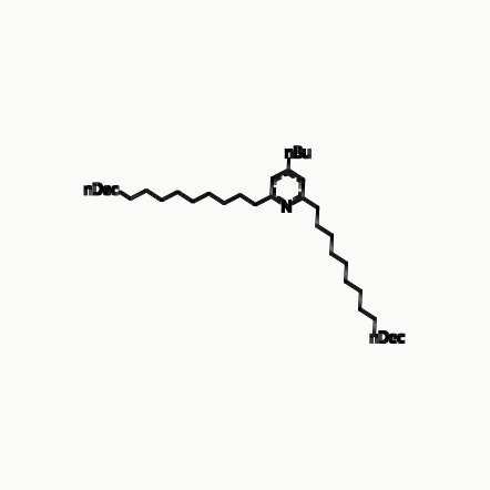 [CH2]CCCc1cc(CCCCCCCCCCCCCCCCCCC)nc(CCCCCCCCCCCCCCCCCCC)c1